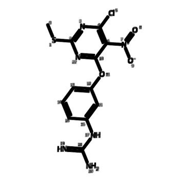 CSc1nc(Cl)c([N+](=O)[O-])c(Oc2cccc(NC(=N)N)c2)n1